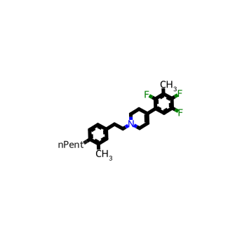 CCCCCc1ccc(CCN2CC=C(c3cc(F)c(F)c(C)c3F)CC2)cc1C